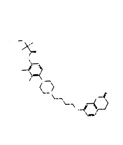 CC(C)(SC(=O)O)C(=O)Nc1ccc(N2CCN(CCCCOc3ccc4c(c3)NC(=O)CC4)CC2)c(Cl)c1Cl